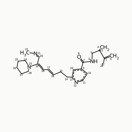 C=C(F)C(=C)CNC(=O)c1ccnc(CC/C=C/C=C(\C=N/C)N2CCCCC2)c1